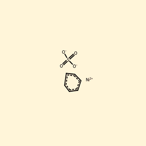 O=S(=O)([O-])[O-].[Ni+2].c1ccccc1